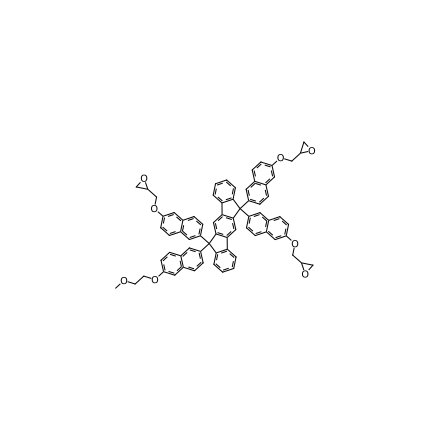 COCCOc1ccc2cc(C3(c4ccc5cc(OCC6CO6)ccc5c4)c4ccccc4-c4cc5c(cc43)-c3ccccc3C5(c3ccc4cc(OCC5CO5)ccc4c3)c3ccc4cc(OCC5CO5)ccc4c3)ccc2c1